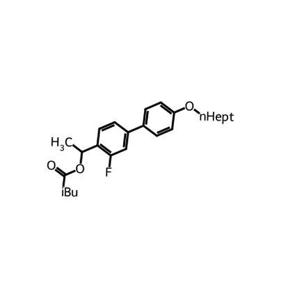 CCCCCCCOc1ccc(-c2ccc(C(C)OC(=O)C(C)CC)c(F)c2)cc1